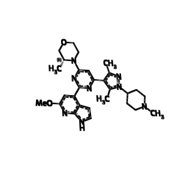 COc1cc(-c2nc(-c3c(C)nn(C4CCN(C)CC4)c3C)cc(N3CCOC[C@H]3C)n2)c2cc[nH]c2n1